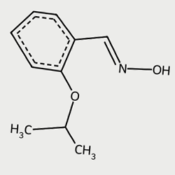 CC(C)Oc1ccccc1/C=N/O